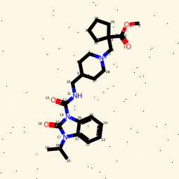 COC(=O)C1(CN2CCC(CNC(=O)n3c(=O)n(C(C)C)c4ccccc43)CC2)CCCC1